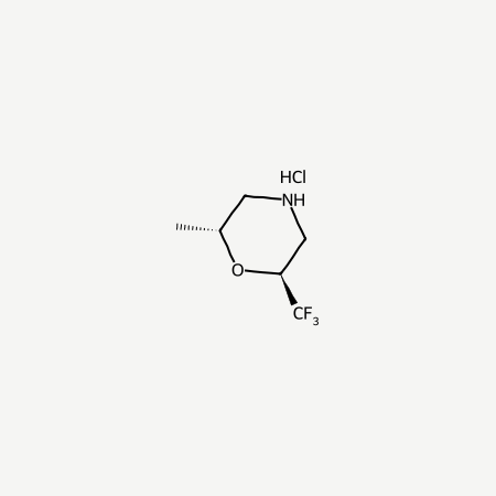 C[C@@H]1CNC[C@@H](C(F)(F)F)O1.Cl